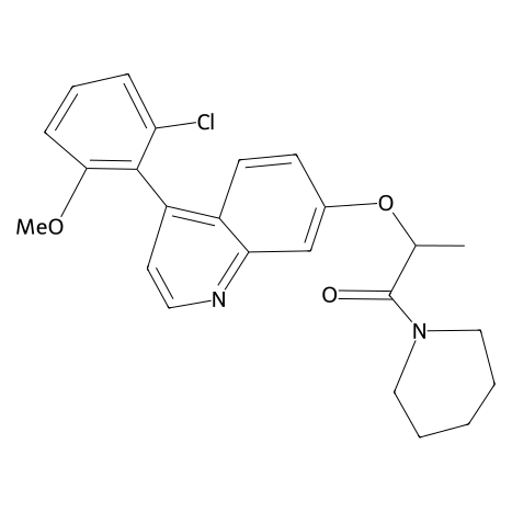 COc1cccc(Cl)c1-c1ccnc2cc(OC(C)C(=O)N3CCCCC3)ccc12